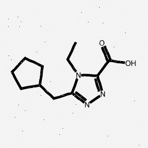 CCn1c(CC2CCCC2)nnc1C(=O)O